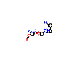 CNc1nc(NC(=O)OC2CCCC(NCc3cccc(-c4cccc(C#N)c4)n3)C2)ccc1OCC=O